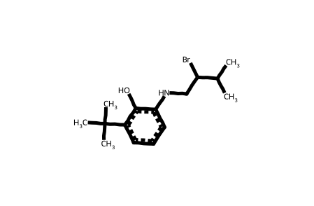 CC(C)C(Br)CNc1cccc(C(C)(C)C)c1O